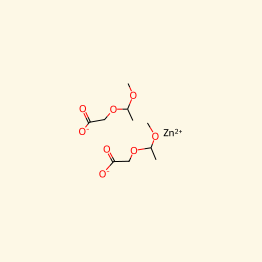 COC(C)OCC(=O)[O-].COC(C)OCC(=O)[O-].[Zn+2]